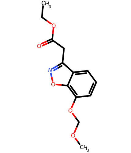 CCOC(=O)Cc1noc2c(OCOC)cccc12